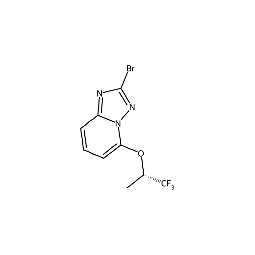 C[C@H](Oc1cccc2nc(Br)nn12)C(F)(F)F